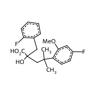 COc1cc(F)ccc1C(C)(C)CC(O)(Cc1ccccc1F)C(=O)O